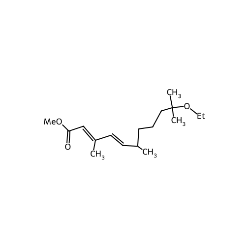 CCOC(C)(C)CCCC(C)/C=C/C(C)=C/C(=O)OC